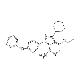 CCOc1cnc(N)c2c(-c3ccc(Oc4ccccc4)cc3)nc(C3CCCCC3)n12